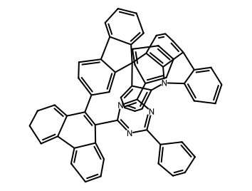 C1=c2c(-c3ccc4c(c3)C3(c5ccccc5-4)c4ccccc4-n4c5ccccc5c5cccc3c54)c(-c3nc(-c4ccccc4)nc(-c4ccccc4)n3)c3ccccc3c2=CCC1